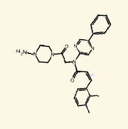 Cc1cccc(/C=C\C(=O)N(CC(=O)N2CCN(N)CC2)c2cnc(-c3ccccc3)cn2)c1C